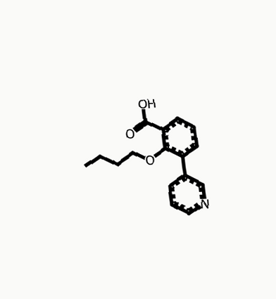 CCCCOc1c(C(=O)O)cccc1-c1cccnc1